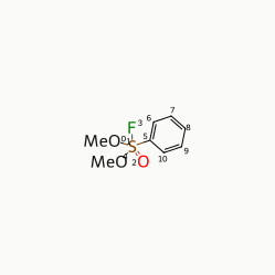 COS(=O)(F)(OC)c1ccccc1